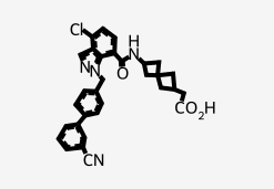 N#Cc1cccc(-c2ccc(Cn3ncc4c(Cl)ccc(C(=O)NC5CC6(CC(CC(=O)O)C6)C5)c43)cc2)c1